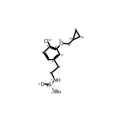 CC(C)(C)[S@+]([O-])NCCc1ccc(Cl)c(OCC2CC2)c1